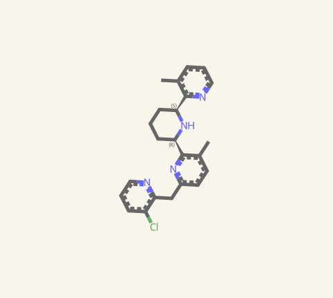 Cc1cccnc1[C@@H]1CCC[C@H](c2nc(Cc3ncccc3Cl)ccc2C)N1